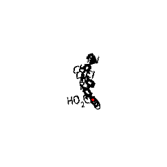 O=C(O)c1cc(F)c(-c2cccc3c2OCN(C(=O)c2c(Cl)cc(-c4cnc5n4CCC5)cc2Cl)C3)cc1N1C2CCC1COC2